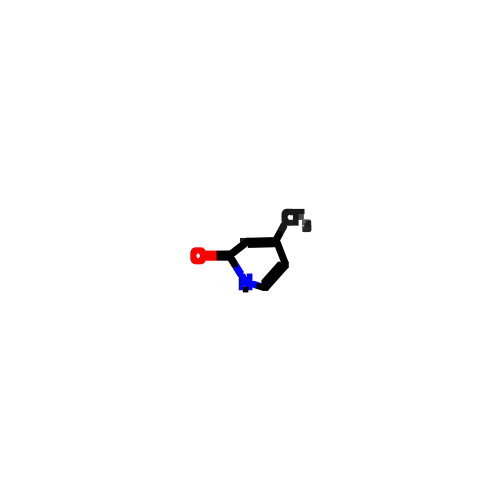 O=C1[C]=C(C(F)(F)F)C=C[N]1